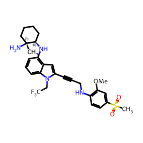 COc1cc(S(C)(=O)=O)ccc1NCC#Cc1cc2c(N[C@@H]3CCCC[C@@]3(C)N)cccc2n1CC(F)(F)F